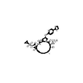 CC[C@@H]1C[C@H](C)CCC=C[C@@H]2C[C@@]2(C(=O)NS(=O)(=O)C2CC2)NC(=O)[C@@H]2C[C@@H](Oc3ccc(-c4nccs4)cn3)CN2C(=O)[C@H]1NC(=O)O